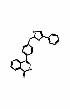 O=c1[nH]nc(-c2ccc(NC3NC=C(c4ccccc4)O3)cc2)c2ccccc12